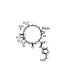 CC[C@@H]1C[C@@H](C)CCC[C@]2(CO)O[C@H]2C[C@@H](C(F)=Cc2coc(CO)n2)OC(=O)C[C@H](O)C(C)(C)C1=O